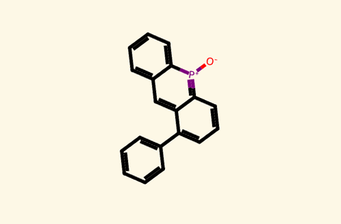 [O-][p+]1c2ccccc2cc2c(-c3ccccc3)cccc21